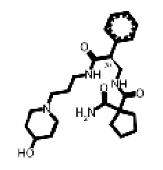 NC(=O)C1(C(=O)NC[C@@H](C(=O)NCCCN2CCC(O)CC2)c2ccccc2)CCCC1